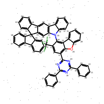 FC(F)(F)c1cc(-c2nc(-c3ccccc3)nc(-c3ccccc3)n2)c2oc3ccccc3c2c1-n1c2ccccc2c2cc3c(cc21)C1(c2ccccc2-c2ccccc21)c1ccccc1-3